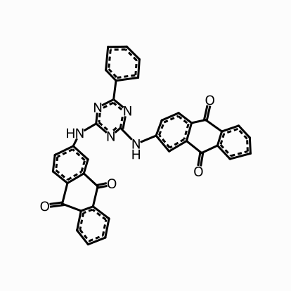 O=C1c2ccccc2C(=O)c2cc(Nc3nc(Nc4ccc5c(c4)C(=O)c4ccccc4C5=O)nc(-c4ccccc4)n3)ccc21